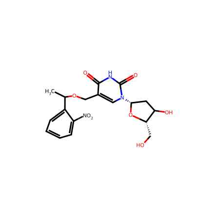 CC(OCc1cn([C@@H]2CC(O)[C@H](CO)O2)c(=O)[nH]c1=O)c1ccccc1[N+](=O)[O-]